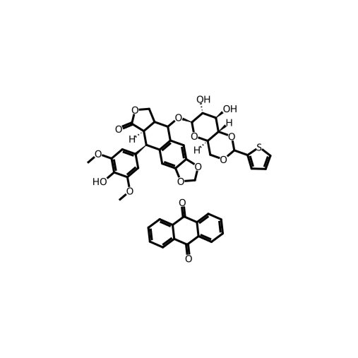 COc1cc([C@@H]2c3cc4c(cc3C(O[C@@H]3O[C@@H]5COC(c6cccs6)O[C@H]5[C@H](O)[C@H]3O)C3COC(=O)[C@@H]32)OCO4)cc(OC)c1O.O=C1c2ccccc2C(=O)c2ccccc21